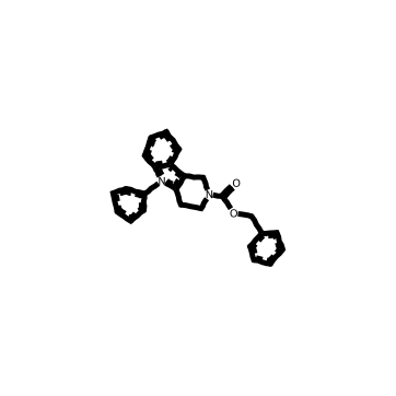 O=C(OCc1ccccc1)N1CCc2c(c3ccccc3n2-c2ccccc2)C1